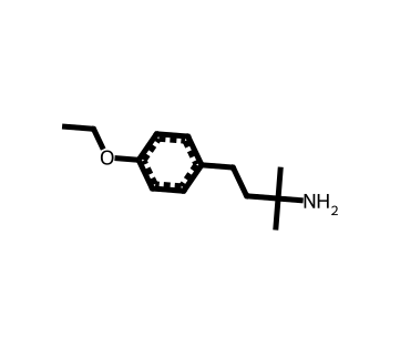 CCOc1ccc(CCC(C)(C)N)cc1